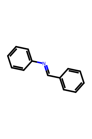 C(=Nc1ccccc1)c1ccccc1